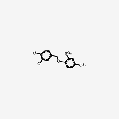 Cc1ccc(OCc2ccc(Cl)c(Cl)c2)c([N+](=O)[O-])c1